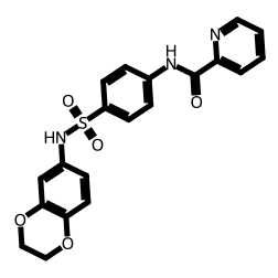 O=C(Nc1ccc(S(=O)(=O)Nc2ccc3c(c2)OCCO3)cc1)c1ccccn1